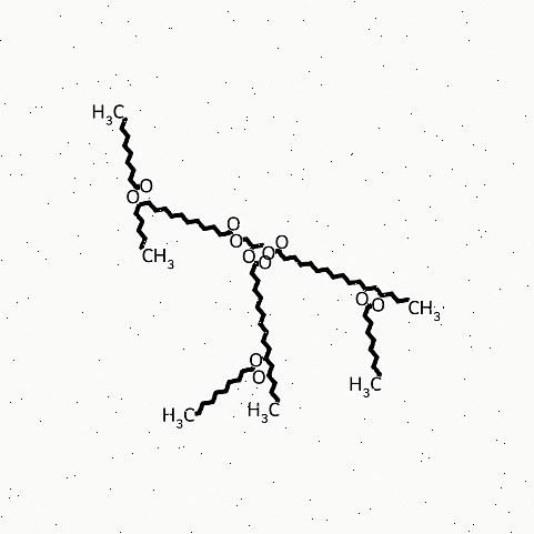 CCCCCCCCCC(=O)OC(CCCCCC)CCCCCCCCCCC(=O)OCC(COC(=O)CCCCCCCCCCC(CCCCCC)OC(=O)CCCCCCCCC)OC(=O)CCCCCCCCCCC(CCCCCC)OC(=O)CCCCCCCCC